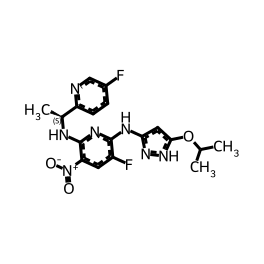 CC(C)Oc1cc(Nc2nc(N[C@@H](C)c3ccc(F)cn3)c([N+](=O)[O-])cc2F)n[nH]1